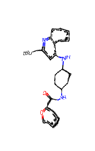 CC(C)(C)c1cc(NC2CCC(NC(=O)c3ccco3)CC2)c2ccccc2n1